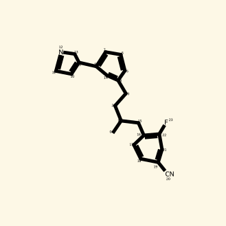 CC(CCc1cccc(C2=CC=NC2)c1)Cc1ccc(C#N)cc1F